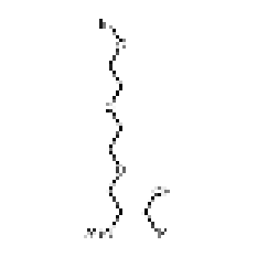 CCOCCOCCOCC(NC)C(O)C(C)C